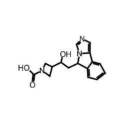 O=C(O)N1CC(C(O)CC2c3ccccc3-c3cncn32)C1